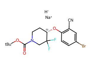 CC(C)(C)OC(=O)N1CC[C@H](Oc2ccc(Br)cc2C#N)C(F)(F)C1.[H-].[Na+]